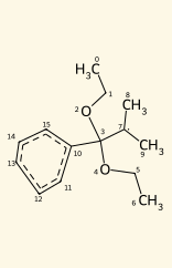 CCOC(OCC)([C](C)C)c1ccccc1